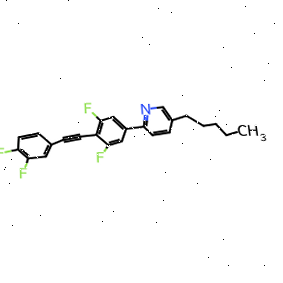 CCCCCc1ccc(-c2cc(F)c(C#Cc3ccc(F)c(F)c3)c(F)c2)nc1